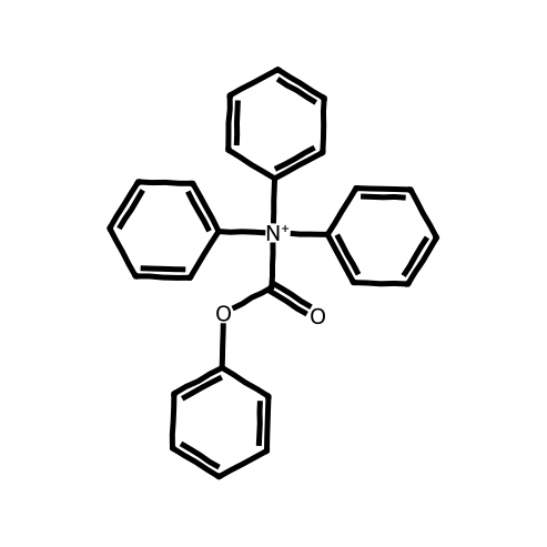 O=C(Oc1ccccc1)[N+](c1ccccc1)(c1ccccc1)c1ccccc1